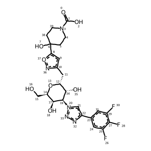 O=C(O)N1CCC(O)(c2cc(C[C@H]3O[C@H](CO)[C@H](O)[C@H](n4cc(-c5cc(F)c(F)c(F)c5)nn4)[C@H]3O)no2)CC1